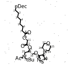 CCCCCCCCCCCCCCCCCC(=O)OCC(=O)O[C@H](COc1nsnc1N1CCOCC1)CN(C(C)=O)C(C)(C)C